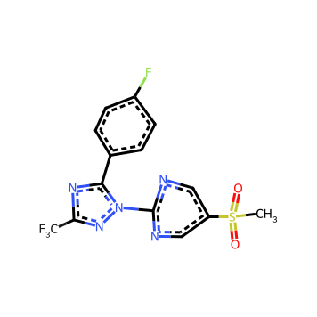 CS(=O)(=O)c1cnc(-n2nc(C(F)(F)F)nc2-c2ccc(F)cc2)nc1